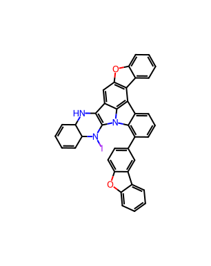 IN1c2c(c3cc4oc5ccccc5c4c4c5cccc(-c6ccc7oc8ccccc8c7c6)c5n2c34)NC2C=CC=CC21